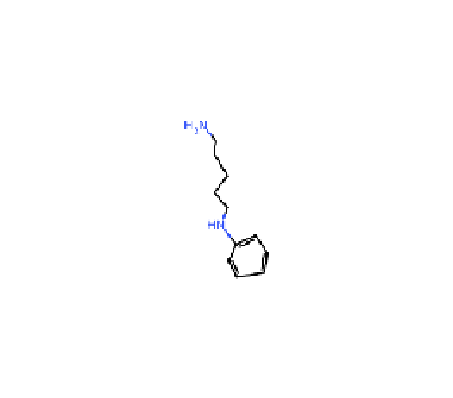 NCCCCCNc1ccccc1